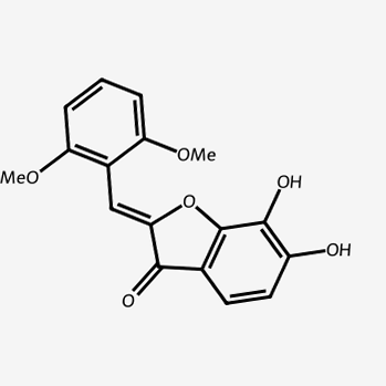 COc1cccc(OC)c1C=C1Oc2c(ccc(O)c2O)C1=O